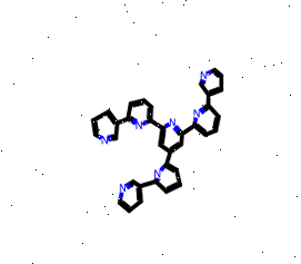 c1cncc(-c2cccc(-c3cc(-c4cccc(-c5cccnc5)n4)nc(-c4cccc(-c5cccnc5)n4)c3)n2)c1